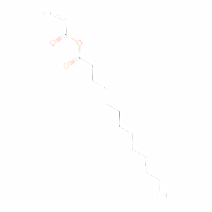 C=CC(=O)OC(=O)CCCCCCCCCCCC